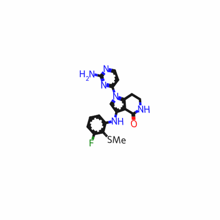 CSc1c(F)cccc1Nc1cn(-c2ccnc(N)n2)c2c1C(=O)NCC2